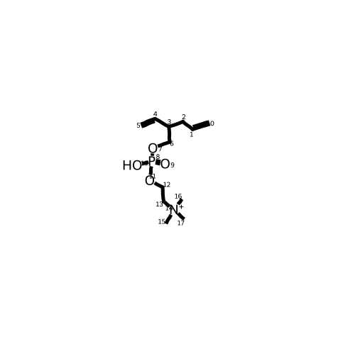 C=CCC(C=C)COP(=O)(O)OCC[N+](C)(C)C